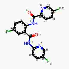 O=C(Nc1ccc(F)cc1C(=O)Nc1ccc(F)cn1)c1ccc(F)cn1